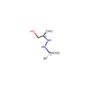 CC(C)[C@@H](C=O)NN[C@H](C=O)CO